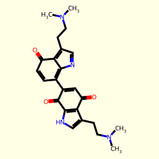 CN(C)CCC1=C2C(=O)C=CC(C3=CC(=O)c4c(CCN(C)C)c[nH]c4C3=O)=C2N=C1